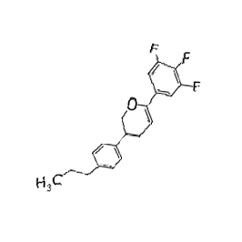 CCCc1ccc(C2CC=C(c3cc(F)c(F)c(F)c3)OC2)cc1